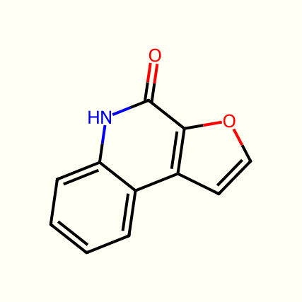 O=c1[nH]c2ccccc2c2ccoc12